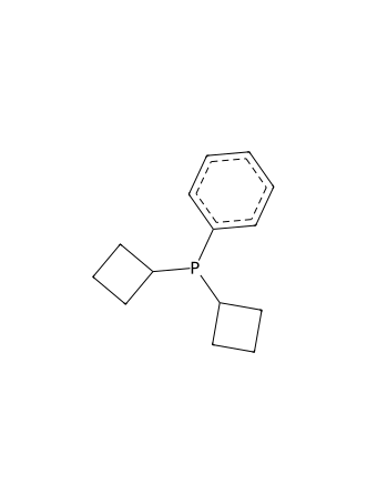 c1ccc(P(C2CCC2)C2CCC2)cc1